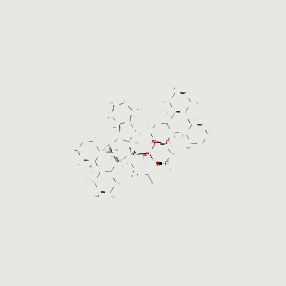 C=C(/N=C(\N=C(\c1cc2c3ccccc3c3ccccc3c2cc1-n1c2ccccc2c2ccccc21)C(C)CC)c1cc2ccccc2c2ccccc12)c1ccccc1